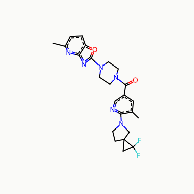 Cc1ccc2oc(N3CCN(C(=O)c4cnc(N5CCC6(C5)CC6(F)F)c(C)c4)CC3)nc2n1